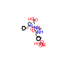 CC(=O)N[C@@H](Cc1ccc(OP(=O)(O)O)cc1)C(=O)N[C@@H](CCC(=O)O)C(=O)N1CCC[C@H]1Cc1ccccc1